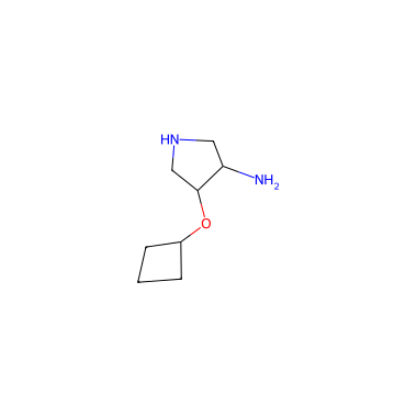 NC1CNCC1OC1CCC1